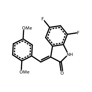 COc1ccc(OC)c(/C=C2/C(=O)Nc3c(F)cc(F)cc32)c1